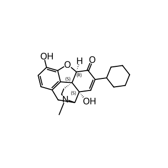 CN1CC[C@]23c4c5ccc(O)c4O[C@H]2C(=O)C(C2CCCCC2)=C[C@@]3(O)C1C5